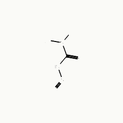 CN(C)C(=O)NN=O